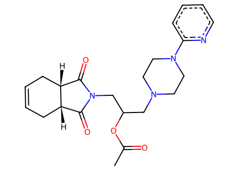 CC(=O)OC(CN1CCN(c2ccccn2)CC1)CN1C(=O)[C@H]2CC=CC[C@H]2C1=O